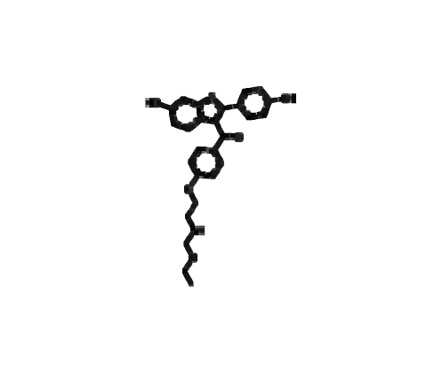 CCOCNCCOc1ccc(C(=O)c2c(-c3ccc(O)cc3)sc3cc(O)ccc23)cc1